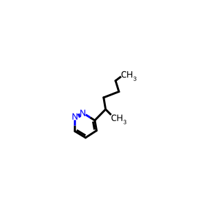 CCCCC(C)c1cccnn1